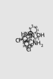 N[C@@H]1[C@H](CO)N(C2CCCCCC2)[C@@]2(C(=O)Nc3cc(Cl)ccc32)[C@H]1c1cccc(Cl)c1F